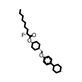 CCCCCCC[C@@H](F)C(=O)O[C@H]1CC[C@H](COc2ccc(C3CC[CH]CC3)cc2)CC1